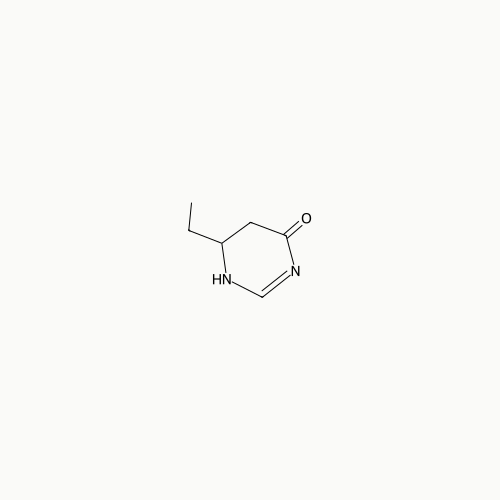 CCC1CC(=O)N=CN1